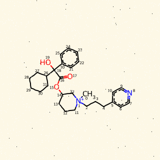 C[N+]1(CCCc2ccncc2)CCCC(OC(=O)C(O)(c2ccccc2)C2CCCCC2)C1